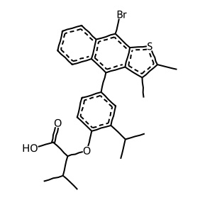 Cc1sc2c(Br)c3ccccc3c(-c3ccc(OC(C(=O)O)C(C)C)c(C(C)C)c3)c2c1C